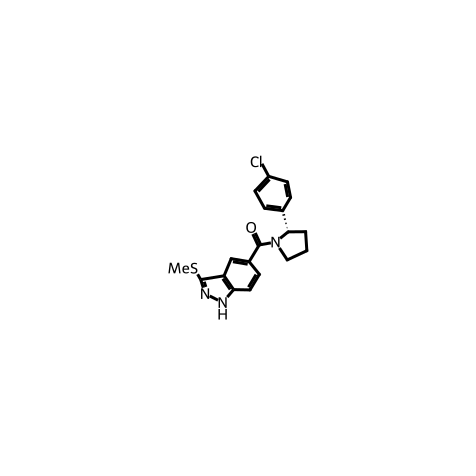 CSc1n[nH]c2ccc(C(=O)N3CCC[C@H]3c3ccc(Cl)cc3)cc12